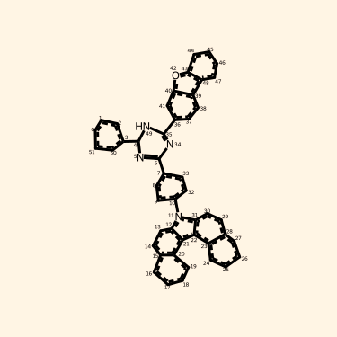 c1ccc(C2N=C(c3ccc(-n4c5ccc6ccccc6c5c5c6ccccc6ccc54)cc3)N=C(c3ccc4c(c3)oc3ccccc34)N2)cc1